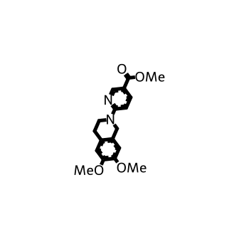 COC(=O)c1ccc(N2CCc3cc(OC)c(OC)cc3C2)nc1